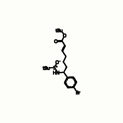 CC(C)(C)OC(=O)/C=C/CCC[C@H](N[S+]([O-])C(C)(C)C)c1ccc(Br)cc1